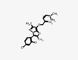 C=C(/C=C\N(C)N)COc1c(C)nn2c(-c3ccc(Cl)cc3Cl)c(C)oc12